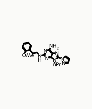 CCCn1c(-n2cccn2)nc2c(N)nc(NCCc3ccccc3OC)nc21